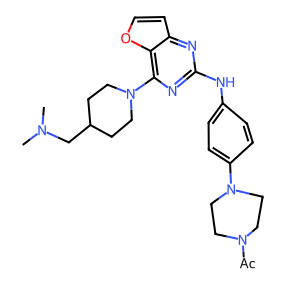 CC(=O)N1CCN(c2ccc(Nc3nc(N4CCC(CN(C)C)CC4)c4occc4n3)cc2)CC1